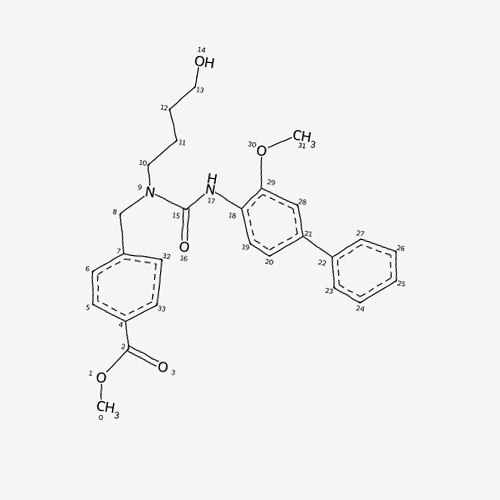 COC(=O)c1ccc(CN(CCCCO)C(=O)Nc2ccc(-c3ccccc3)cc2OC)cc1